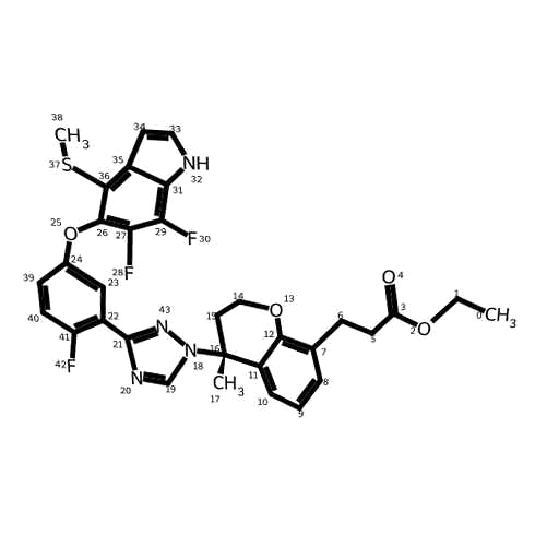 CCOC(=O)CCc1cccc2c1OCC[C@@]2(C)n1cnc(-c2cc(Oc3c(F)c(F)c4[nH]ccc4c3SC)ccc2F)n1